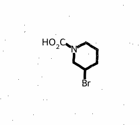 O=C(O)N1CCCC(Br)C1